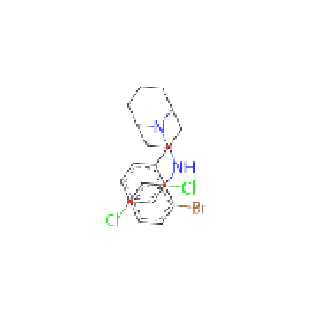 Clc1ccc(CN2C3CCCC2CC(Nc2ccccc2Br)C3)c(Cl)c1